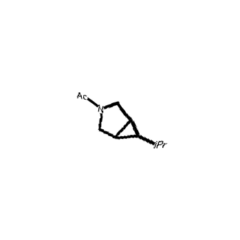 CC(=O)N1CC2C(C1)C2C(C)C